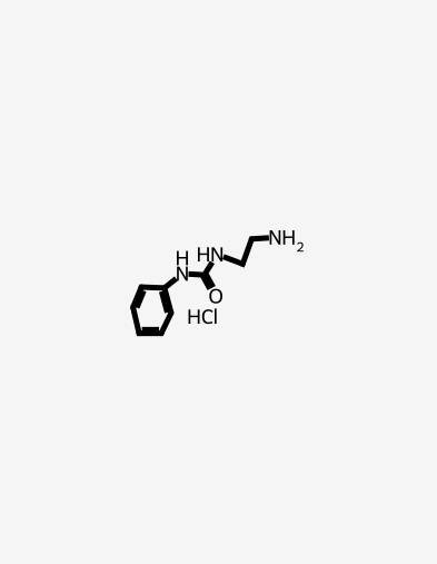 Cl.NCCNC(=O)Nc1ccccc1